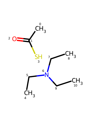 CC(=O)S.CCN(CC)CC